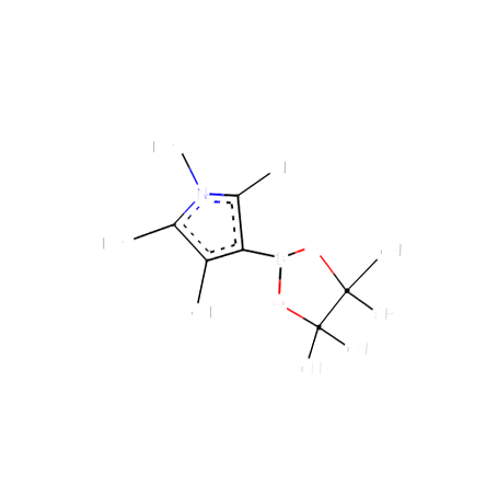 Cc1c(B2OC(C)(C)C(C)(C)O2)c(C)n(C)c1C